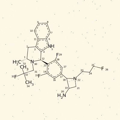 C[C@@H]1Cc2c([nH]c3ccccc23)[C@@H](c2c(F)cc(C3C(N)CN3CCCF)cc2F)N1CC(C)(C)F